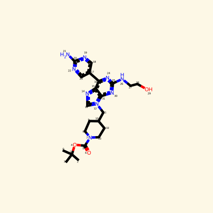 CC(C)(C)OC(=O)N1CCC(Cn2cnc3c(-c4cnc(N)nc4)nc(NCCO)nc32)CC1